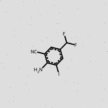 N#Cc1cc(C(F)F)cc(I)c1N